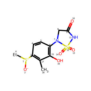 CC[S+]([O-])c1ccc(N2CC(=O)NS2(=O)=O)c(O)c1C